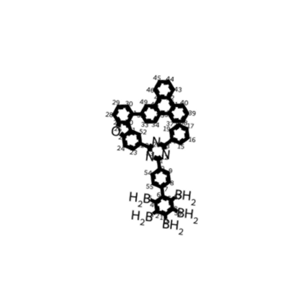 Bc1c(B)c(B)c(-c2ccc(-c3nc(-c4ccccc4)nc(-c4ccc5oc6cccc(-c7ccc8c9ccccc9c9ccccc9c8c7)c6c5c4)n3)cc2)c(B)c1B